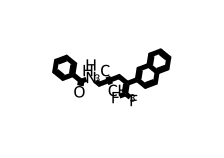 CC(C)(CNC(=O)c1ccccc1)CC(=C(F)F)c1ccc2ccccc2c1